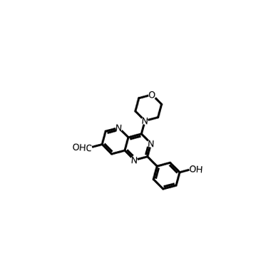 O=Cc1cnc2c(N3CCOCC3)nc(-c3cccc(O)c3)nc2c1